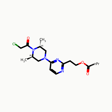 CCCC(=O)OCCc1nccc(N2C[C@@H](C)N(C(=O)CCl)[C@H](C)C2)n1